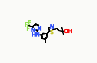 Cc1cc(Nc2nccc(C(F)(F)F)n2)cc(-c2cnc(CCC(C)(C)O)s2)c1